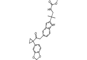 CC(C)(C)OC(=O)NCC(C)(C)c1cc2cc(CC(=O)C3(c4ccc5c(c4)OCO5)CC3)ccc2[nH]1